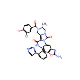 C[C@@H]1Cn2c(c(C(=O)NCc3ccccc3-c3ccncn3)n(-c3ccc4oc(N)nc4c3)c2=O)CN1C(=O)c1ccc(Br)c(Cl)c1